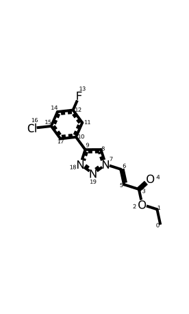 CCOC(=O)C=Cn1cc(-c2cc(F)cc(Cl)c2)nn1